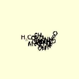 C#CC(CO)(OC)[C@H](Cn1cnc2c(NC(=O)C3CC4(CCCCC4)C3)nc(F)nc21)OC(=O)CC(C)(C)c1c(C)cc(C)cc1OC(C)=O